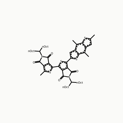 CCCCCCCCC(CCCCCCCC)N1C(=O)c2c(C)sc(-c3sc(-c4cc5c(C)c6sc(C)cc6c(C)c5s4)c4c3C(=O)N(C(CCCCCCCC)CCCCCCCC)C4=O)c2C1=O